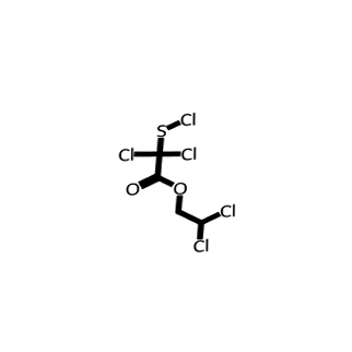 O=C(OCC(Cl)Cl)C(Cl)(Cl)SCl